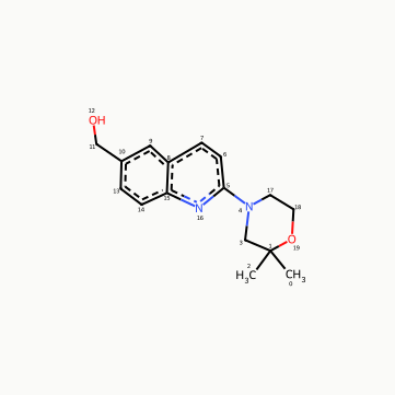 CC1(C)CN(c2ccc3cc(CO)ccc3n2)CCO1